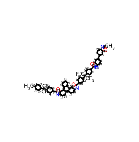 Cc1ccc(C(c2ccc(-c3nc4ccc5c6ccc7nc(-c8ccc(C(c9ccc(-c%10nc%11ccc(-c%12ccc%13nc(C)oc%13c%12)cc%11o%10)cc9)(C(F)(F)F)C(F)(F)F)cc8)oc7c6c6ccccc6c5c4o3)cc2)(C(F)(F)F)C(F)(F)F)cc1